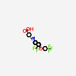 CN(C[C@H]1CC[C@H](C(=O)O)CC1)c1ccc2c(C(F)F)c(O[C@H]3CC[C@@H](C(F)(F)F)CC3)ccc2c1